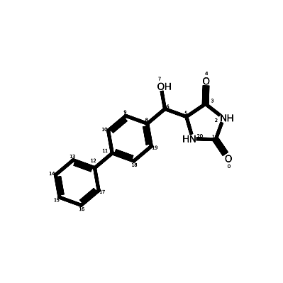 O=C1NC(=O)C(C(O)c2ccc(-c3ccccc3)cc2)N1